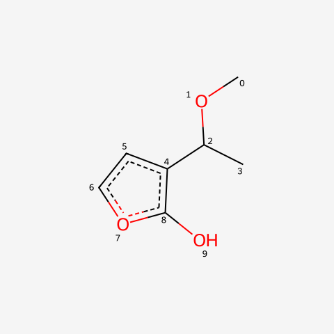 COC(C)c1ccoc1O